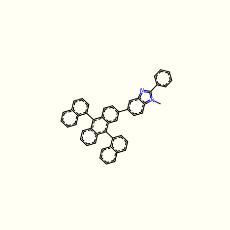 Cn1c(-c2ccccc2)nc2cc(-c3ccc4c(-c5cccc6ccccc56)c5ccccc5c(-c5cccc6ccccc56)c4c3)ccc21